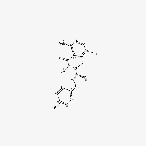 CNc1ncc(I)c(COC(=O)COc2ccc(F)cc2)c1C(=O)OC(C)(C)C